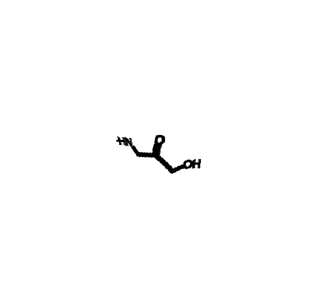 [NH]CC(=O)CO